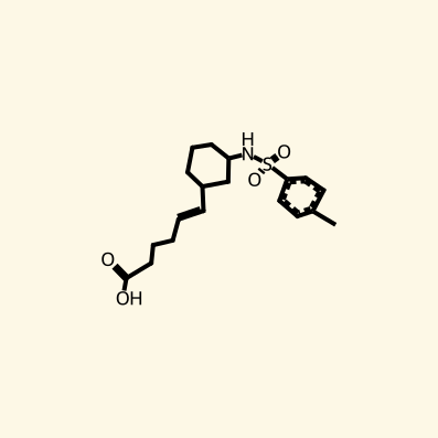 Cc1ccc(S(=O)(=O)NC2CCCC(C=CCCCC(=O)O)C2)cc1